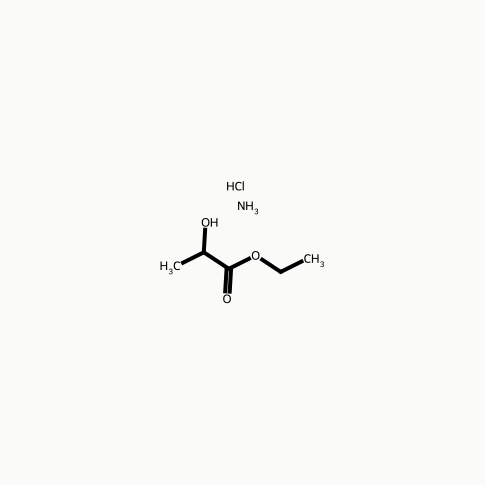 CCOC(=O)C(C)O.Cl.N